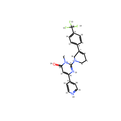 Cn1c(N2CCC=C(c3ccc(C(F)(F)F)cc3)C2)nc(-c2ccncc2)cc1=O